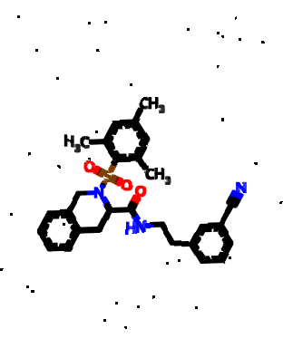 Cc1cc(C)c(S(=O)(=O)N2Cc3ccccc3CC2C(=O)NCCc2cccc(C#N)c2)c(C)c1